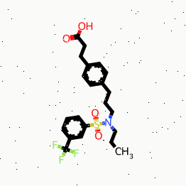 CCCN(CCCc1ccc(CCC(=O)O)cc1)S(=O)(=O)c1cccc(C(F)(F)F)c1